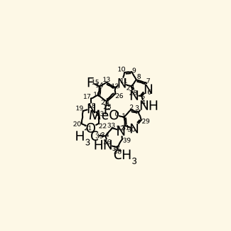 COc1cc(Nc2ncc3ccn(-c4cc(F)c(CN5CCOCC5)c(F)c4)c3n2)cnc1N1CC(C)NC(C)C1